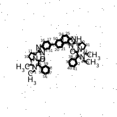 CCN(CC)[C@@H](C(=O)N1CCC[C@H]1c1nc2ccc(-c3ccc4c(ccc5[nH]c([C@@H]6CCCN6C(=O)[C@@H](c6ccccc6)N(CC)CC)nc54)c3)cc2[nH]1)c1ccccc1